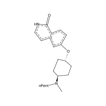 CCCCCN(C)[C@H]1CC[C@H](Oc2ccc3c(=O)[nH]ccc3c2)CC1